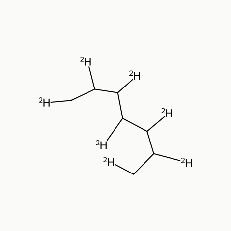 [2H]CC([2H])C([2H])C([2H])C([2H])C([2H])C[2H]